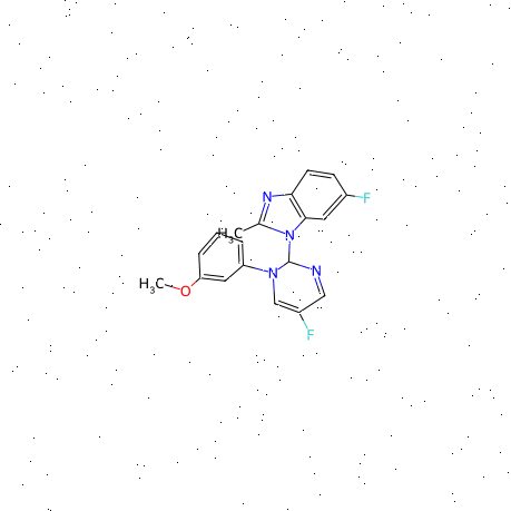 COc1cccc(N2C=C(F)C=NC2n2c(C)nc3ccc(F)cc32)c1